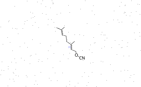 CC(C)=CCC/C(C)=C/COC#N